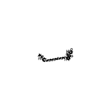 CC(C)(C)OC(=O)NC1CCN(CCOCCCOCCOCCOCCNc2cccc3c2C(=O)N(C2CCC(=O)NC2=O)C3=O)CC1